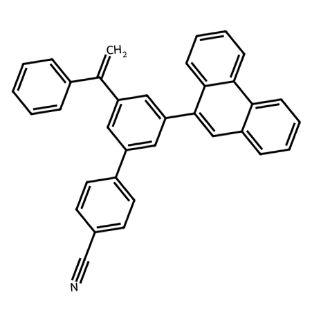 C=C(c1ccccc1)c1cc(-c2ccc(C#N)cc2)cc(-c2cc3ccccc3c3ccccc23)c1